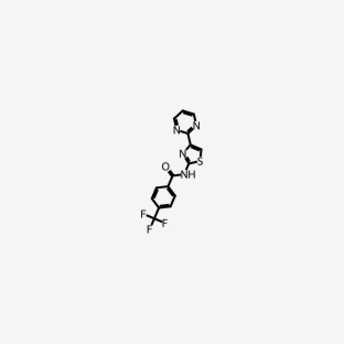 O=C(Nc1nc(-c2ncccn2)cs1)c1ccc(C(F)(F)F)cc1